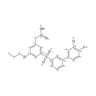 CCCOc1cc(CC(=O)O)cc(S(=O)(=O)c2cccc(-c3ccc(F)c(Cl)c3)c2)c1